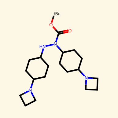 CC(C)(C)OC(=O)N(NC1CCC(N2CCC2)CC1)C1CCC(N2CCC2)CC1